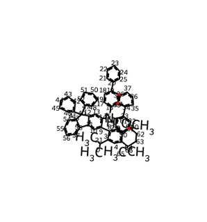 CC(C)c1cc2c(cc1-c1cc3c(cc1N(c1ccc(-c4ccccc4)cc1)c1ccccc1-c1ccccc1)C(c1ccccc1)(c1ccccc1)c1ccccc1-3)C(C)(C)CCC2(C)C